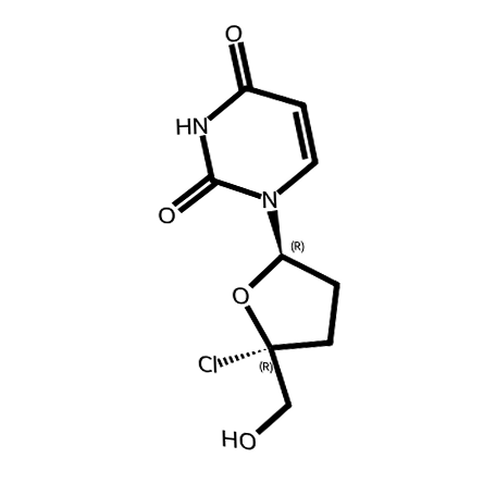 O=c1ccn([C@H]2CC[C@@](Cl)(CO)O2)c(=O)[nH]1